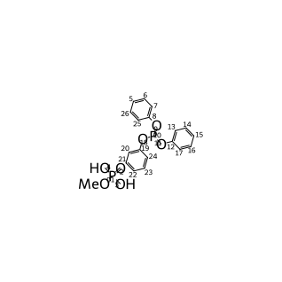 COP(=O)(O)O.c1ccc(OP(Oc2ccccc2)Oc2ccccc2)cc1